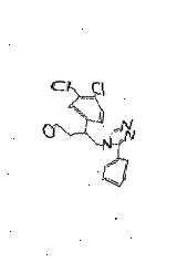 O=CCC(Cn1cnnc1-c1ccccc1)c1ccc(Cl)c(Cl)c1